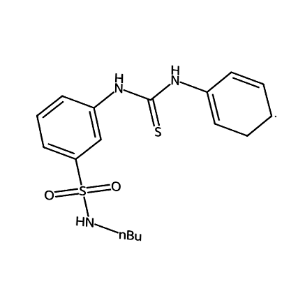 CCCCNS(=O)(=O)c1cccc(NC(=S)NC2=CC[CH]C=C2)c1